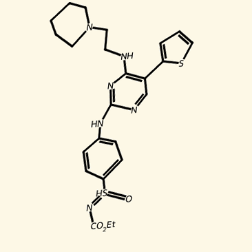 CCOC(=O)/N=[SH](=O)/c1ccc(Nc2ncc(-c3cccs3)c(NCCN3CCCCC3)n2)cc1